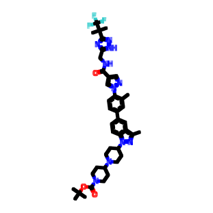 Cc1cc(-c2ccc3c(c2)c(C)nn3C2CCN(C3CCN(C(=O)OC(C)(C)C)CC3)CC2)ccc1-n1cc(C(=O)NCc2nc(C(C)(C)C(F)(F)F)n[nH]2)cn1